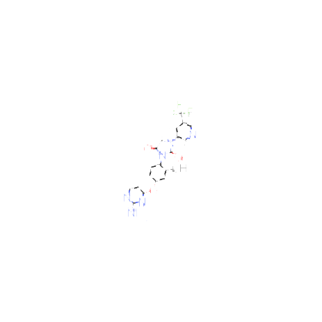 Cc1cc(Oc2ccnc(N)n2)ccc1N1C(=O)CN(c2cncc(C(F)(F)F)c2)C1=O